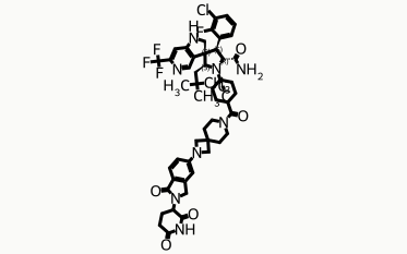 CC(C)(C)C[C@@H]1N(C23CCC(C(=O)N4CCC5(CC4)CN(c4ccc6c(c4)CN(C4CCC(=O)NC4=O)C6=O)C5)(CC2)CC3)[C@@H](C(N)=O)[C@H](c2cccc(Cl)c2F)[C@]12CNc1cc(C(F)(F)F)ncc12